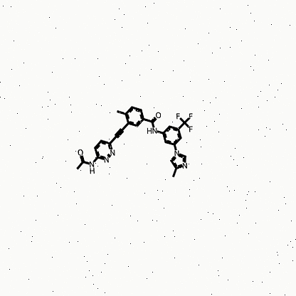 CC(=O)Nc1ccc(C#Cc2cc(C(=O)Nc3cc(-n4cnc(C)c4)cc(C(F)(F)F)c3)ccc2C)nn1